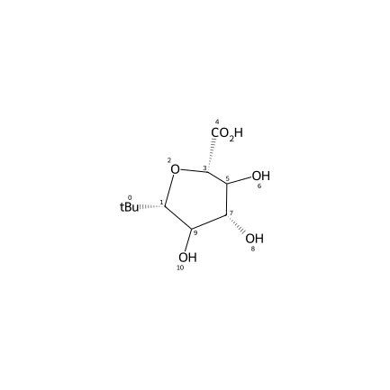 CC(C)(C)[C@@H]1O[C@H](C(=O)O)C(O)[C@H](O)C1O